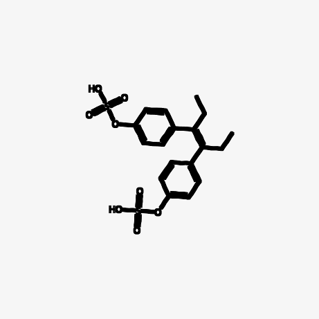 CCC(=C(CC)c1ccc(OS(=O)(=O)O)cc1)c1ccc(OS(=O)(=O)O)cc1